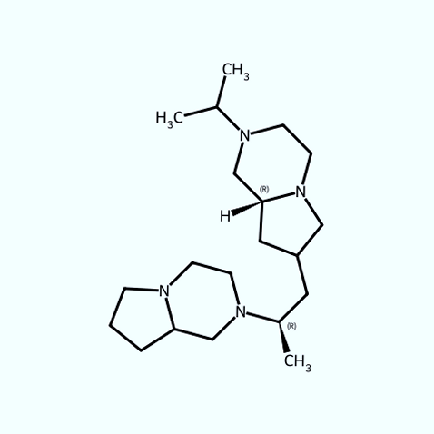 CC(C)N1CCN2CC(C[C@@H](C)N3CCN4CCCC4C3)C[C@@H]2C1